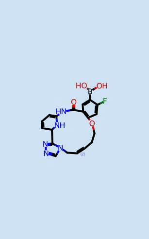 O=C1NC2=CC=CC(N2)c2nncn2C/C=C\CCOc2cc(F)c(B(O)O)cc21